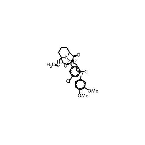 C=C[C@H]1CN(CCOc2ccc(OC)c(OC)c2)C(=O)C2CCC[C@@H]1N2S(=O)(=O)c1cc(Cl)cc(Cl)c1